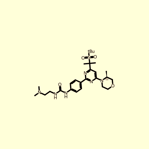 C[C@H]1COCCN1c1cc(C(C)(C)S(=O)(=O)C(C)(C)C)nc(-c2ccc(NC(=O)NCCN(C)C)cc2)n1